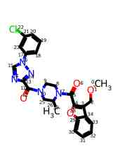 COCc1c(C(=O)N2CCN(C(=O)c3ncn(-c4cccc(Cl)c4)n3)CC2C)oc2ccccc12